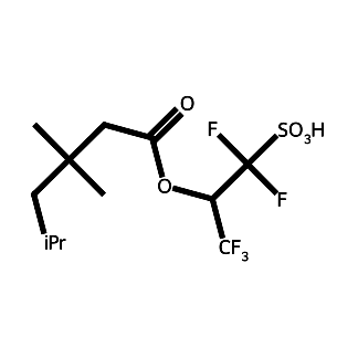 CC(C)CC(C)(C)CC(=O)OC(C(F)(F)F)C(F)(F)S(=O)(=O)O